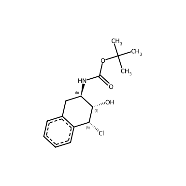 CC(C)(C)OC(=O)N[C@@H]1Cc2ccccc2[C@@H](Cl)[C@H]1O